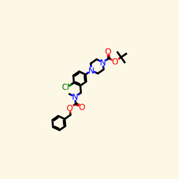 CN(Cc1cc(N2CCN(C(=O)OC(C)(C)C)CC2)ccc1Cl)C(=O)OCc1ccccc1